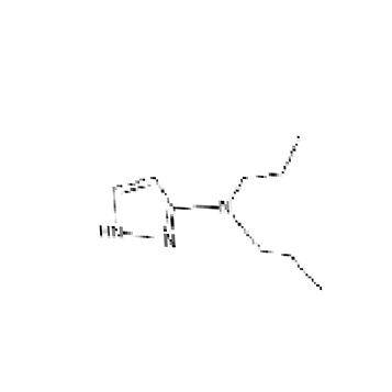 CCCN(CCC)c1cc[nH]n1